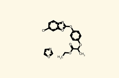 CCOC(=O)C(C)Oc1ccc(Oc2nc3ccc(Cl)cc3o2)cc1.c1cocn1